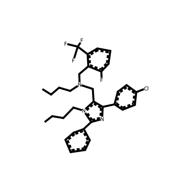 CCCCN(Cc1c(F)cccc1C(F)(F)F)Cc1c(-c2ccc(Cl)cc2)nc(-c2ccccc2)n1CCCC